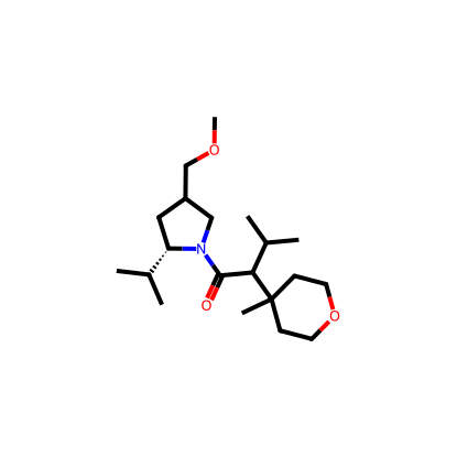 COCC1C[C@@H](C(C)C)N(C(=O)C(C(C)C)C2(C)CCOCC2)C1